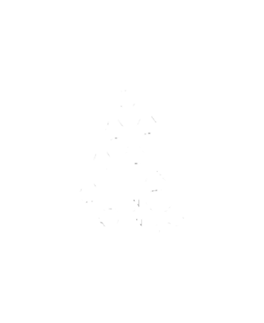 c1ccc(-c2ccc(-c3cccc(-c4cccc(-c5nc(-c6cccc(-c7cccc(-c8cccc(-c9ccccc9)c8)c7)c6)c6c(n5)sc5ccccc56)c4)c3)cc2)cc1